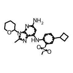 Cc1nc2c(Nc3ccc(C4CCC4)cc3S(C)(=O)=O)cc(N)nc2n1C1CCCCO1